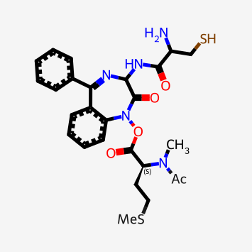 CSCC[C@@H](C(=O)ON1C(=O)C(NC(=O)C(N)CS)N=C(c2ccccc2)c2ccccc21)N(C)C(C)=O